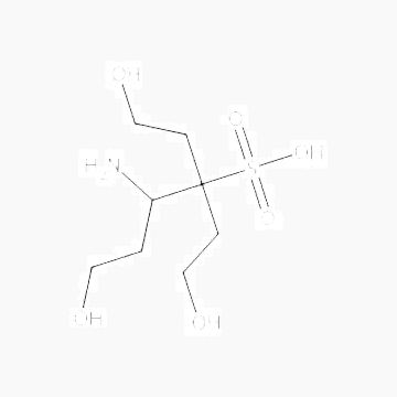 NC(CCO)C(CCO)(CCO)S(=O)(=O)O